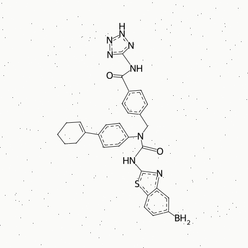 Bc1ccc2sc(NC(=O)N(Cc3ccc(C(=O)Nc4nn[nH]n4)cc3)c3ccc(C4=CCCCC4)cc3)nc2c1